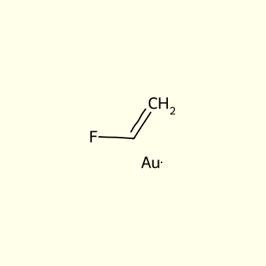 C=CF.[Au]